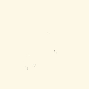 Cc1nnc(-c2cncc(OC(C)C)c2)o1